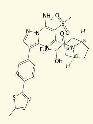 Cc1cnc(-c2ccc(-c3cnn4c(N)c(S(C)(=O)=O)c([C@@H]5C[C@H]6CC[C@@H](C5)N6C(=O)C(O)C(F)(F)F)nc34)cn2)s1